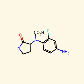 Nc1ccc(N(C(=O)O)C2CCNC2=O)c(F)c1